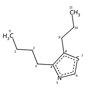 CCCCc1ncsc1CCC